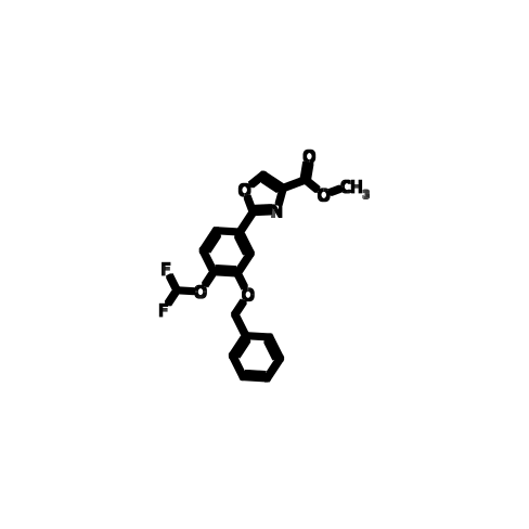 COC(=O)c1coc(-c2ccc(OC(F)F)c(OCc3ccccc3)c2)n1